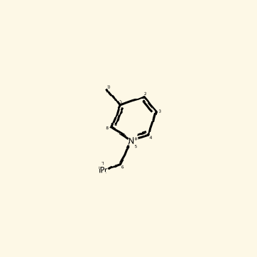 Cc1ccc[n+](CC(C)C)c1